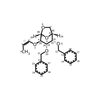 C/C=C\O[C@H]1[C@@H]2OC[C@@H](O2)[C@H](OCc2ccccc2)[C@@H]1OCc1ccccc1